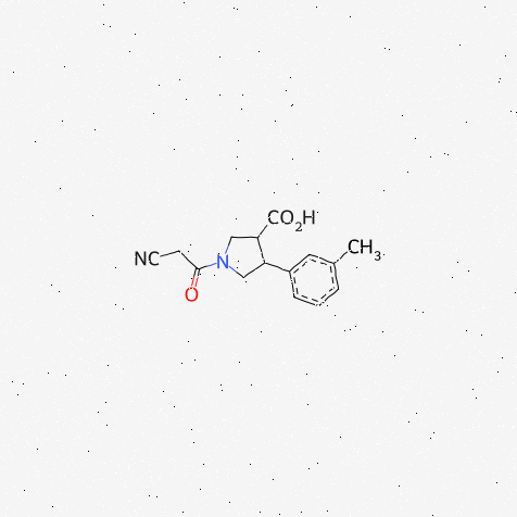 Cc1cccc(C2CN(C(=O)CC#N)CC2C(=O)O)c1